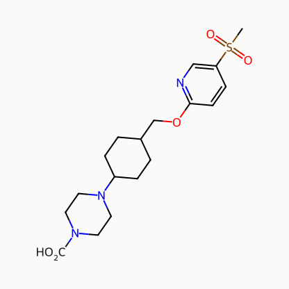 CS(=O)(=O)c1ccc(OCC2CCC(N3CCN(C(=O)O)CC3)CC2)nc1